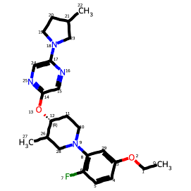 CCOc1ccc(F)c(N2CC[C@@H](Oc3cnc(N4CCC(C)C4)cn3)C(C)C2)c1